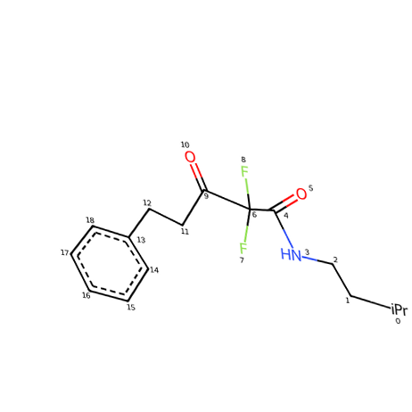 CC(C)CCNC(=O)C(F)(F)C(=O)CCc1ccccc1